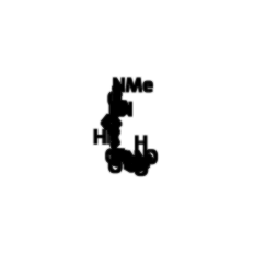 CNCCOc1cncc(-c2cccc(CNCC[C@H]3CN(c4ccc5c(n4)NC(=O)CO5)C(=O)O3)c2)n1